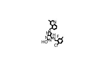 Cc1cnc2cccc(Cn3cc4c(NCc5c(Cl)ccc(C)c5F)nc(O)nc4n3)c2c1